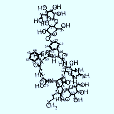 CCCCN1CC(C(O)C2NC(=O)C(C(O)C3CNC(=N)N3)NC(=O)C(Cc3ccc(OC4OC(CO)C(OC5OC(CO)C(O)C(O)C5O)C(O)C4O)cc3)NC(=O)C(C)N(c3ccccc3C)C(=O)CNC(=O)C(CO)NC2=O)N(C2OC(CO)C(O)C(O)C2O)C1=N